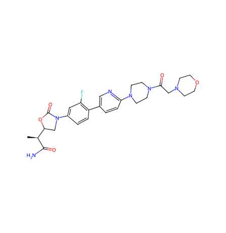 C[C@H](C(N)=O)C1CN(c2ccc(-c3ccc(N4CCN(C(=O)CN5CCOCC5)CC4)nc3)c(F)c2)C(=O)O1